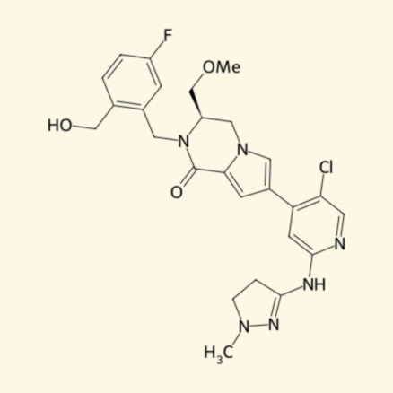 COC[C@H]1Cn2cc(-c3cc(NC4=NN(C)CC4)ncc3Cl)cc2C(=O)N1Cc1cc(F)ccc1CO